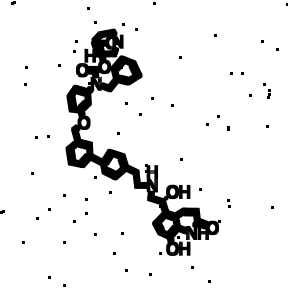 O=C(O[C@H]1CN2CCC1CC2)N(Cc1ccccc1)c1cccc(OCc2cccc(-c3ccc(CCNC[C@H](O)c4ccc(O)c5[nH]c(=O)ccc45)cc3)c2)c1